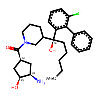 COCCCC[C@@](O)(c1cccc(Cl)c1-c1ccccc1)C1CCCN(C(=O)[C@H]2C[C@@H](N)[C@@H](O)C2)C1